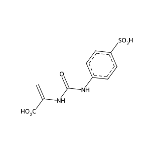 C=C(NC(=O)Nc1ccc(S(=O)(=O)O)cc1)C(=O)O